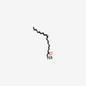 CCCCCCCC/C=C\CCCCCCCC(=O)[CH2][Na]